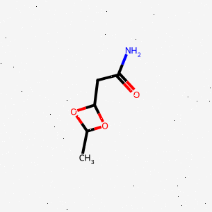 CC1OC(CC(N)=O)O1